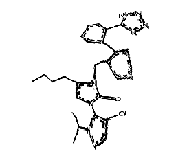 CCCCc1cn(-c2c(Cl)cnn2C(C)C)c(=O)n1Cc1cnccc1-c1ccccc1-c1nnn[nH]1